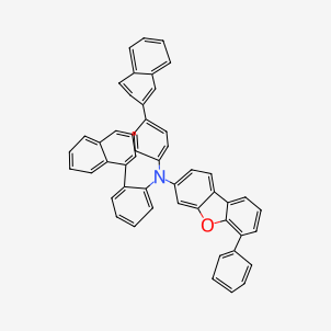 c1ccc(-c2cccc3c2oc2cc(N(c4ccc(-c5ccc6ccccc6c5)cc4)c4ccccc4-c4cccc5ccccc45)ccc23)cc1